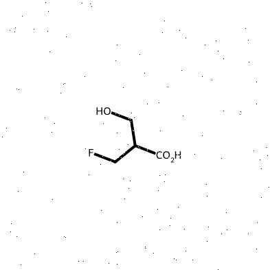 O=C(O)C(CO)CF